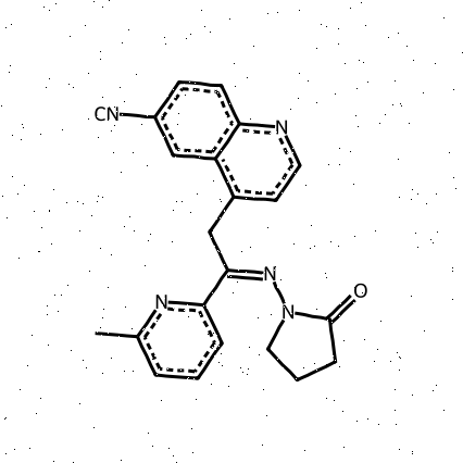 [C-]#[N+]c1ccc2nccc(CC(=NN3CCCC3=O)c3cccc(C)n3)c2c1